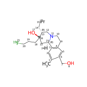 Cc1cc2c(cc1CO)CCN1C[C@@H](CC(C)C)[C@@](O)(CCC[19F])C[C@H]21